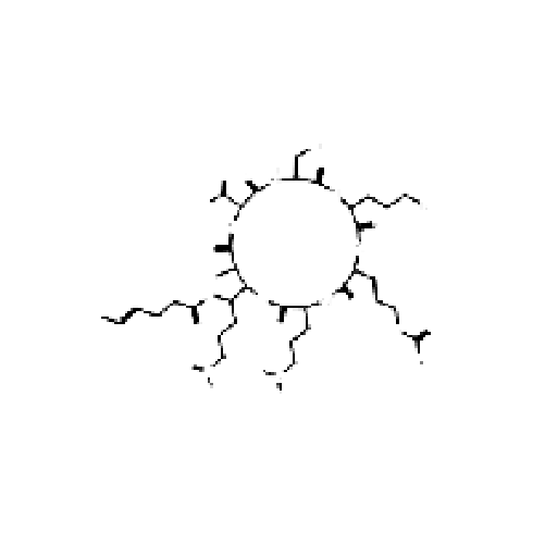 C/C=C/CCC(=O)NC(CCCN(O)C=O)C1OC(=O)C(CCCN(O)C(C)=O)NC(=O)C(CCCNC(N)=O)NC(=O)C(CCCN)NC(=O)C(CO)NC(=O)C(C(O)C(=O)O)NC(=O)C1C